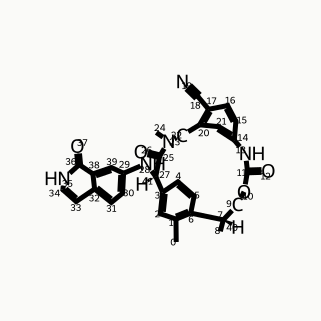 Cc1cc2ccc1[C@@H](C)COC(=O)Nc1ccc(C#N)c(c1)CN(C)C(=O)[C@@H]2Nc1ccc2cc[nH]c(=O)c2c1